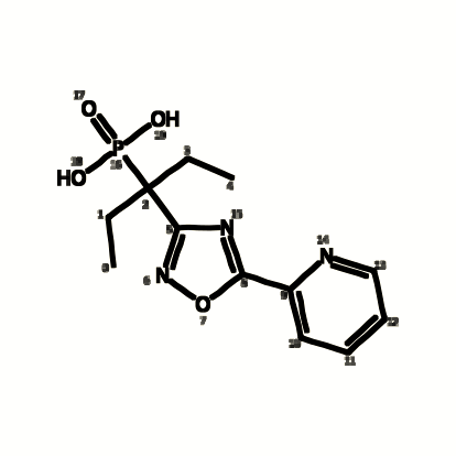 CCC(CC)(c1noc(-c2ccccn2)n1)P(=O)(O)O